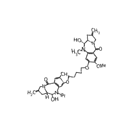 C=C1CC2C(O)N(C)c3cc(OCCCCCOc4cc5c(cc4C)C(=O)N4CC(=C)C[C@H]4C(O)N5C(C)C)c(OC)cc3C(=O)N2C1